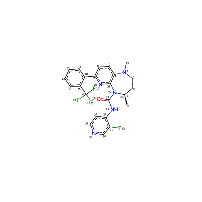 C[C@@H]1CCN(C)c2ccc(-c3ccccc3C(F)(F)F)nc2N1C(=O)Nc1ccncc1F